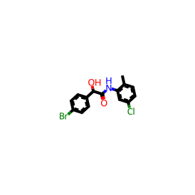 Cc1ccc(Cl)cc1NC(=O)C(O)c1ccc(Br)cc1